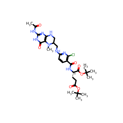 CC(=O)Nc1nc2c(c(=O)[nH]1)N(C)C(CNc1ccc(C(=O)N[C@@H](CCC(=O)OC(C)(C)C)C(=O)OC(C)(C)C)c(Cl)n1)CN2